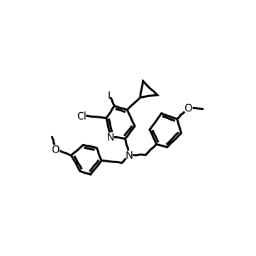 COc1ccc(CN(Cc2ccc(OC)cc2)c2cc(C3CC3)c(I)c(Cl)n2)cc1